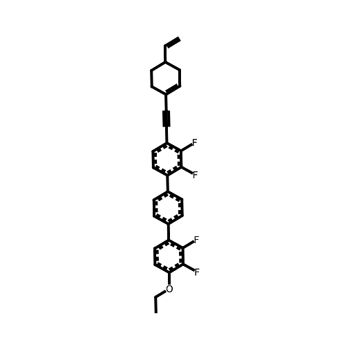 C=CC1CC=C(C#Cc2ccc(-c3ccc(-c4ccc(OCC)c(F)c4F)cc3)c(F)c2F)CC1